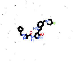 O=C(Nc1c[nH]c(=O)c(-c2cc3cc(CN4CCC(F)CC4)ccc3[nH]2)c1)c1cnn(Cc2ccccc2)c1